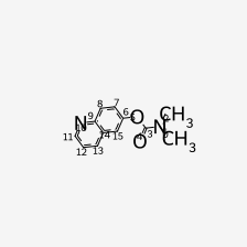 CN(C)C(=O)Oc1ccc2ncccc2c1